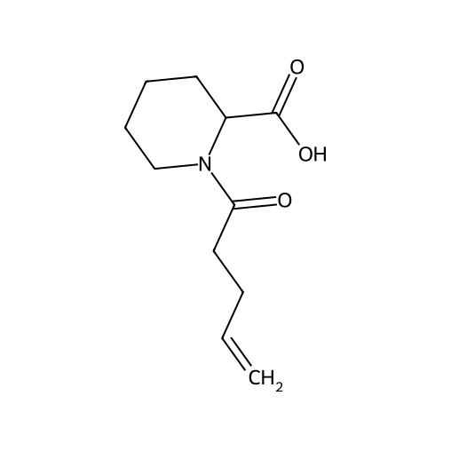 C=CCCC(=O)N1CCCCC1C(=O)O